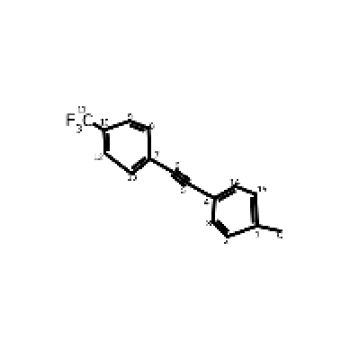 Cc1ccc(C#Cc2ccc(C(F)(F)F)cc2)cc1